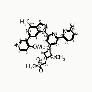 COc1ccncc1-c1cc2c(cnn2-c2cc(N3C[C@H](CS(C)(=O)=O)[C@H]3C)cc(-c3cccc(Cl)n3)n2)c(C)n1